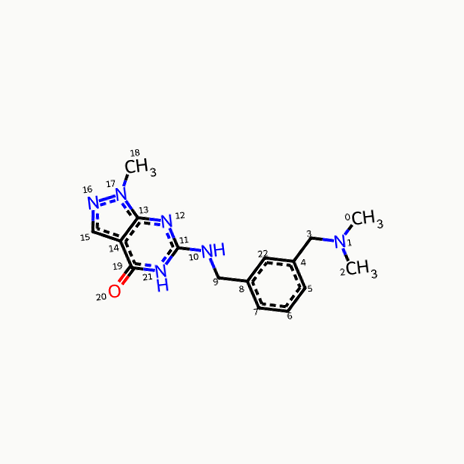 CN(C)Cc1cccc(CNc2nc3c(cnn3C)c(=O)[nH]2)c1